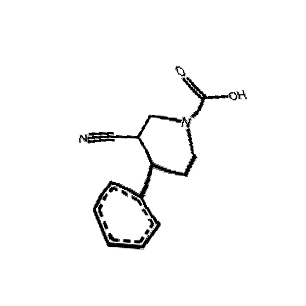 N#CC1CN(C(=O)O)CCC1c1ccccc1